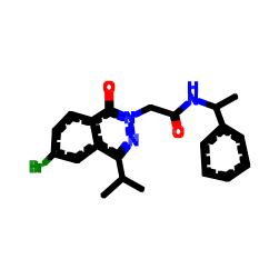 CC(C)c1nn(CC(=O)NC(C)c2ccccc2)c(=O)c2ccc(Br)cc12